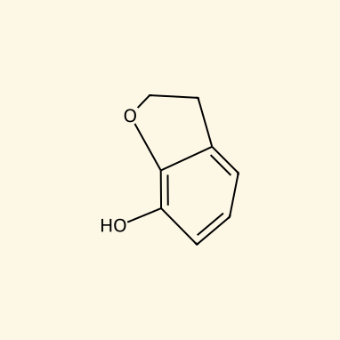 Oc1cccc2c1OCC2